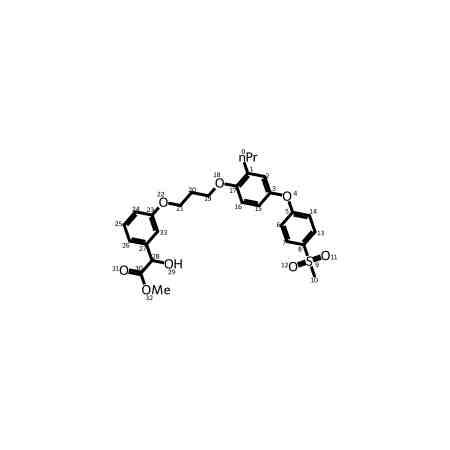 CCCc1cc(Oc2ccc(S(C)(=O)=O)cc2)ccc1OCCCOc1cccc(C(O)C(=O)OC)c1